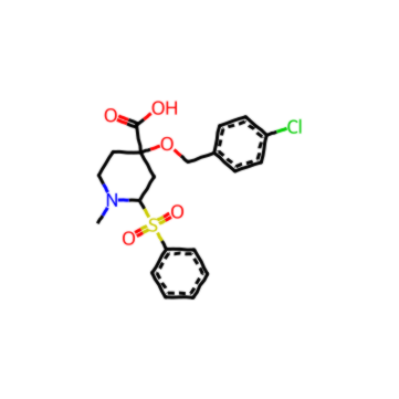 CN1CCC(OCc2ccc(Cl)cc2)(C(=O)O)CC1S(=O)(=O)c1ccccc1